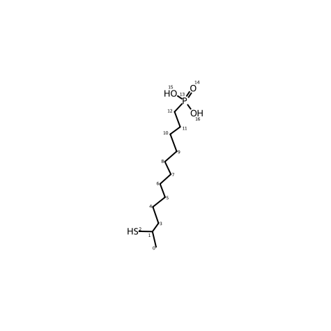 CC(S)CCCCCCCCCCP(=O)(O)O